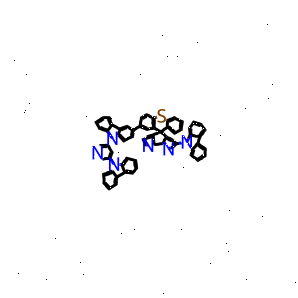 c1ccc2c(c1)Sc1ccc(-c3ccc4c(c3)c3ccccc3n4-c3cncc(-n4c5ccccc5c5ccccc54)c3)cc1C21c2cccnc2-c2ncc(-n3c4ccccc4c4ccccc43)cc21